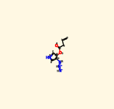 C=CCC(=O)Oc1c[nH]cc1N=[N+]=[N-]